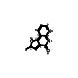 CC1C=C2C(=O)N=c3ncccc3=C2O1